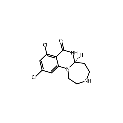 O=C1N[C@H]2CCNCCN2c2cc(Cl)cc(Cl)c21